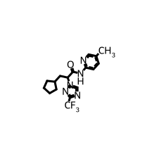 Cc1ccc(NC(=O)C(CC2CCCC2)n2cnc(C(F)(F)F)n2)nc1